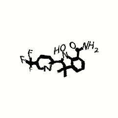 CC1(C)c2cccc(C(N)=O)c2N(O)C1c1ccc(C(F)(F)F)cn1